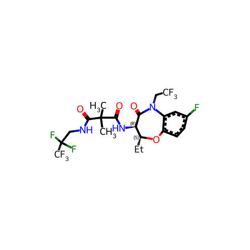 CC[C@@H]1Oc2ccc(F)cc2N(CC(F)(F)F)C(=O)[C@@H]1NC(=O)C(C)(C)C(=O)NCC(F)(F)C(F)(F)F